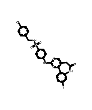 O=C1Cc2cnc(Nc3ccc(S(=O)(=O)NCc4ccc(Cl)cc4)cc3)nc2-c2ccc(I)cc2N1